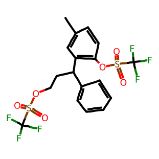 Cc1ccc(OS(=O)(=O)C(F)(F)F)c(C(CCOS(=O)(=O)C(F)(F)F)c2ccccc2)c1